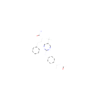 CC(NC(=O)O)c1ccc(Nc2ncc(C(F)(F)F)c(C(CC(N)=O)Cc3ccccc3)n2)cc1